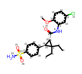 CCC1(CC)[C@@H](C(=O)Nc2cc(Cl)ccc2OC)[C@@H]1c1ccc(S(N)(=O)=O)cc1